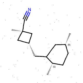 C[C@@H]1CC[C@H](C)C(C[C@H]2C[C@](C)(C#N)C2)C1